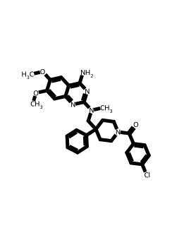 COc1cc2nc(N(C)CC3(c4ccccc4)CCN(C(=O)c4ccc(Cl)cc4)CC3)nc(N)c2cc1OC